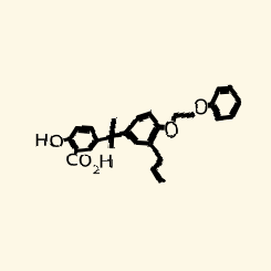 C=CCc1cc(C(C)(C)c2ccc(O)c(C(=O)O)c2)ccc1OCCOc1ccccc1